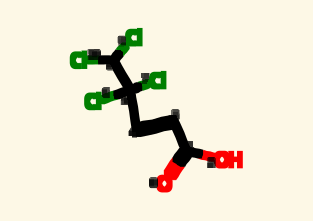 O=C(O)C=CC(Cl)(Cl)C(Cl)Cl